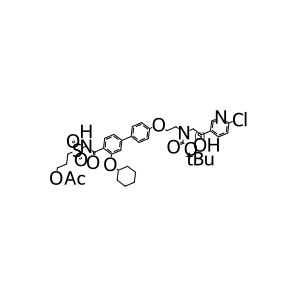 CC(=O)OCCCS(=O)(=O)NC(=O)c1ccc(-c2ccc(OCCN(C[C@@H](O)c3ccc(Cl)nc3)C(=O)OC(C)(C)C)cc2)cc1OC1CCCCC1